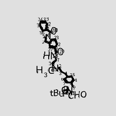 CN(CCCc1ccc(CN(C=O)OC(C)(C)C)cc1)CCNC(=O)c1ccc2c(ccn2C(=O)c2ccccc2)c1